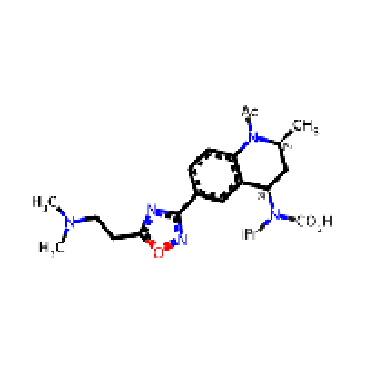 CC(=O)N1c2ccc(-c3noc(CCN(C)C)n3)cc2[C@H](N(C(=O)O)C(C)C)C[C@@H]1C